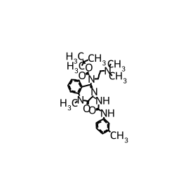 Cc1cccc(NC(=O)N[C@@H]2N=C(N(CCN(C)C)C(=O)OC(C)(C)C)c3ccccc3N(C)C2=O)c1